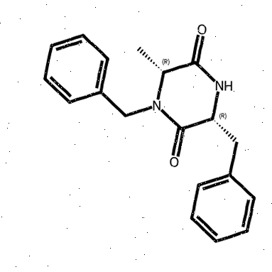 C[C@@H]1C(=O)N[C@H](Cc2ccccc2)C(=O)N1Cc1ccccc1